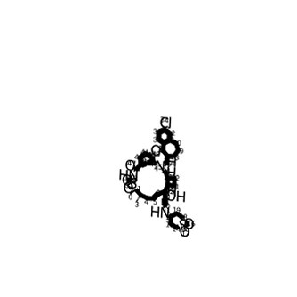 C[C@@H]1[C@@H](C)C/C=C/[C@](O)(C#CNC2CCS(=O)(=O)CC2)[C@@H]2CC[C@H]2CN2C[C@H]3CCCc4cc(Cl)ccc4C3Oc3ccc(cc32)C(=O)NS1(=O)=O